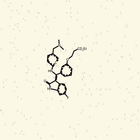 CCOC(=O)CCOc1cccc(/C(Nc2ccc(CN(C)C)cc2)=C2/C(=O)Nc3cc(F)ccc32)c1